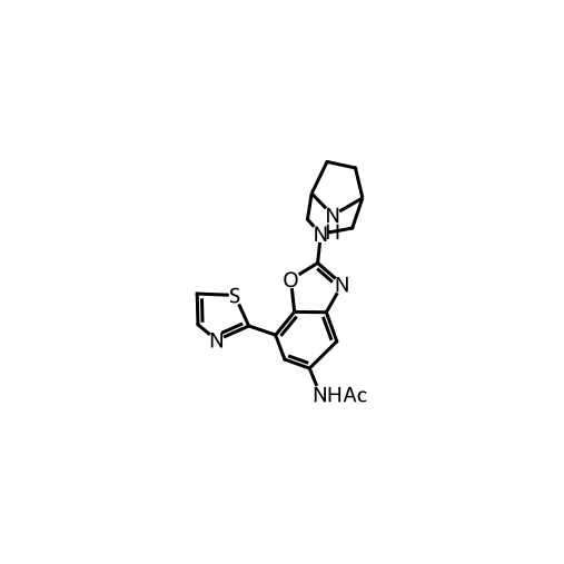 CC(=O)Nc1cc(-c2nccs2)c2oc(N3CC4CCC(C3)N4)nc2c1